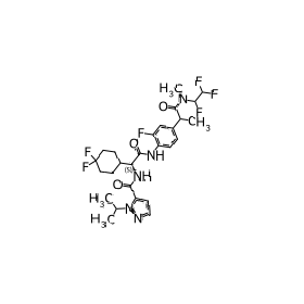 CC(C(=O)N(C)C(F)C(F)F)c1ccc(NC(=O)[C@@H](NC(=O)c2ccnn2C(C)C)C2CCC(F)(F)CC2)c(F)c1